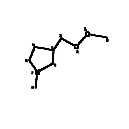 COOCC1CCN(C)C1